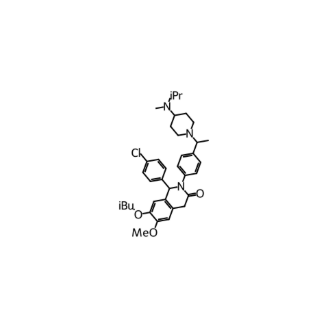 CCC(C)Oc1cc2c(cc1OC)CC(=O)N(c1ccc(C(C)N3CCC(N(C)C(C)C)CC3)cc1)C2c1ccc(Cl)cc1